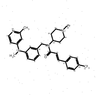 Cc1cc(N(C)c2cccc(CN(C(=O)/C=C/c3ccc(C(F)(F)F)cc3)C3CCN(C(C)C)CC3)c2)ccn1